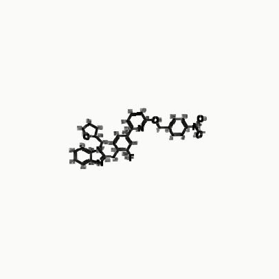 O=[N+]([O-])c1ccc(COc2cccc(-c3ccc(Cc4nc5ccccc5n4CC4CCCO4)c(F)c3)n2)cc1